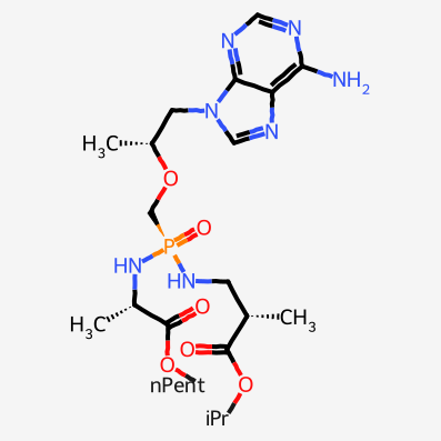 CCCCCOC(=O)[C@H](C)N[P@@](=O)(CO[C@H](C)Cn1cnc2c(N)ncnc21)NC[C@H](C)C(=O)OC(C)C